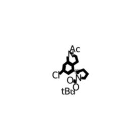 CC(=O)N1CCc2c(cc(Cl)cc2[C@@H]2CCCN2C(=O)OC(C)(C)C)C1